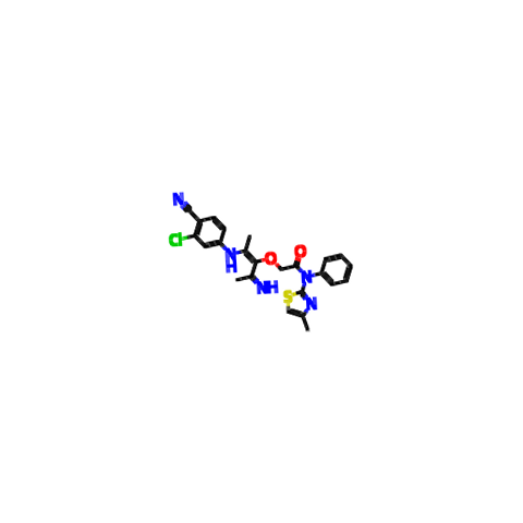 CC(=N)/C(OCC(=O)N(c1ccccc1)c1nc(C)cs1)=C(/C)Nc1ccc(C#N)c(Cl)c1